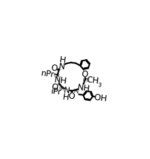 CCC[C@@H]1NC(=O)[C@@H](C(C)C)NC(=O)[C@@H](Cc2ccc(O)cc2)NC[C@@H](C)Oc2ccccc2CCCNC1=O